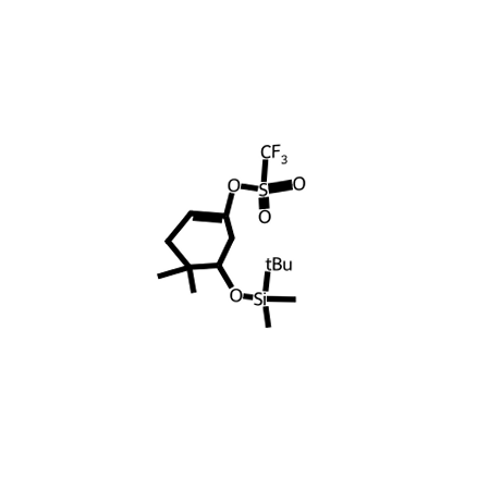 CC1(C)CC=C(OS(=O)(=O)C(F)(F)F)CC1O[Si](C)(C)C(C)(C)C